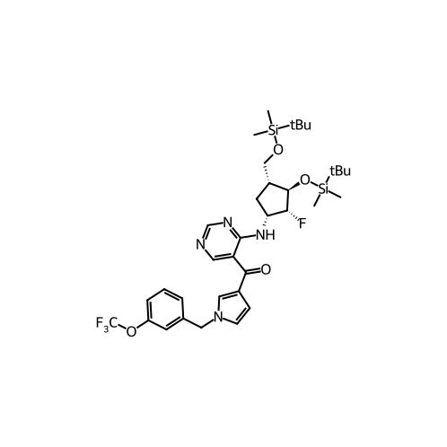 CC(C)(C)[Si](C)(C)OC[C@H]1C[C@@H](Nc2ncncc2C(=O)c2ccn(Cc3cccc(OC(F)(F)F)c3)c2)[C@@H](F)[C@@H]1O[Si](C)(C)C(C)(C)C